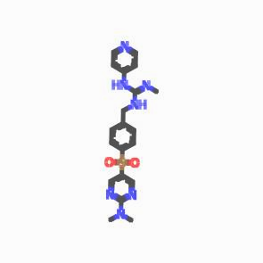 C/N=C(\NCc1ccc(S(=O)(=O)c2cnc(N(C)C)nc2)cc1)Nc1ccncc1